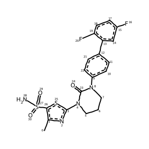 Cc1nc(N2CCCN(c3ccc(-c4cc(F)ccc4F)cc3)C2=O)sc1S(N)(=O)=O